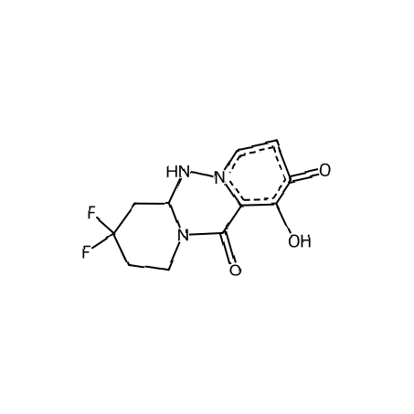 O=C1c2c(O)c(=O)ccn2NC2CC(F)(F)CCN12